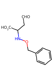 O=CCC(NOCc1ccccc1)C(=O)O